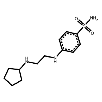 NS(=O)(=O)c1ccc(NCCNC2CCCC2)cc1